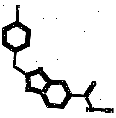 O=C(NO)c1ccc2sc(Cc3ccc(F)cc3)nc2c1